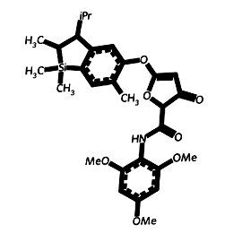 COc1cc(OC)c(NC(=O)C2OC(Oc3cc4c(cc3C)[Si](C)(C)C(C)C4C(C)C)=CC2=O)c(OC)c1